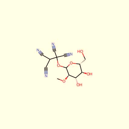 CO[C@H]1C(OC(C#N)(C#N)C(C#N)C#N)O[C@H](CO)[C@@H](O)[C@@H]1O